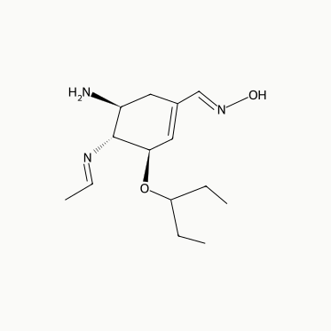 C/C=N/[C@@H]1[C@@H](N)CC(/C=N/O)=C[C@H]1OC(CC)CC